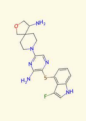 Nc1nc(N2CCC3(CC2)COCC3N)cnc1Sc1cccc2[nH]cc(F)c12